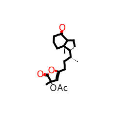 CC(=O)O[C@@]1(C)C=C(CC[C@@H](C)[C@H]2CCC3C(=O)CCC[C@]32C)OC1=O